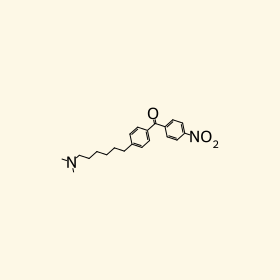 CN(C)CCCCCCc1ccc(C(=O)c2ccc([N+](=O)[O-])cc2)cc1